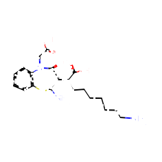 NCCCCCCC[C@H](C(=O)O)[C@@H]1C(=O)N(CC(=O)O)c2ccccc2SC1N